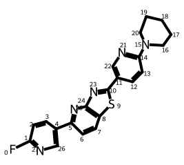 Fc1ccc(-c2ccc3sc(-c4ccc(N5CCCCC5)nc4)nc3n2)cn1